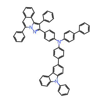 c1ccc(-c2ccc(N(c3ccc(-c4ccc5c(c4)c4ccccc4n5-c4ccccc4)cc3)c3ccc(-c4nn5c(-c6ccccc6)cc6ccccc6c5c4-c4ccccc4)cc3)cc2)cc1